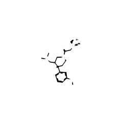 COc1cccc(C2(O)CCN(C(=O)Cn3cnnn3)CC2CN(C)C)c1